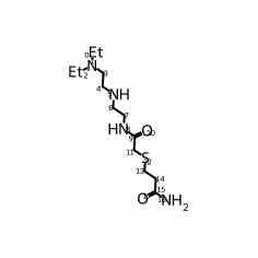 CCN(CC)CCNCCNC(=O)CSCCC(N)=O